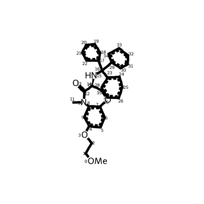 COCCOc1ccc2c(c1)N(C)C(=O)[C@@H](NC(c1ccccc1)(c1ccccc1)c1ccccc1)CO2